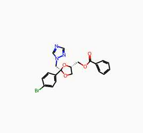 O=C(OC[C@@H]1CO[C@@](Cn2cncn2)(c2ccc(Br)cc2)O1)c1ccccc1